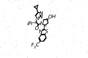 CC(C)[C@@H](C(=O)N1C[C@H](O)C[C@H]1c1nc2cc(C(F)(F)F)ccc2s1)n1cc(C2CC2)nn1